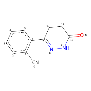 N#Cc1ccccc1C1=NNC(=O)CC1